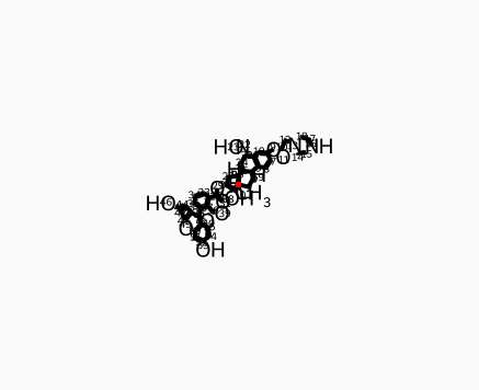 C[C@]12CC[C@@H]3c4ccc(OC(=O)CN5CCNCC5)cc4C(=NO)C[C@H]3[C@@H]1C[C@@H](OC(=O)c1cccc3c1C(=O)OC31c3ccc(O)cc3Oc3cc(O)ccc31)[C@@H]2O